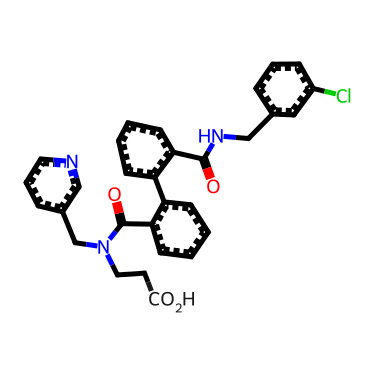 O=C(O)CCN(Cc1cccnc1)C(=O)c1ccccc1-c1ccccc1C(=O)NCc1cccc(Cl)c1